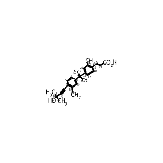 CCC(CC)(c1ccc(C#CC(C)(C)O)c(C)c1)c1ccc(CCC(=O)O)c(C)c1